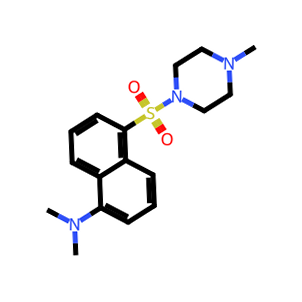 CN1CCN(S(=O)(=O)c2cccc3c(N(C)C)cccc23)CC1